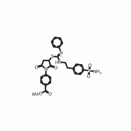 COC(=O)c1ccc(N2C(=O)CC(S/C(=N\c3ccccc3)NCCc3ccc(S(N)(=O)=O)cc3)C2=O)cc1